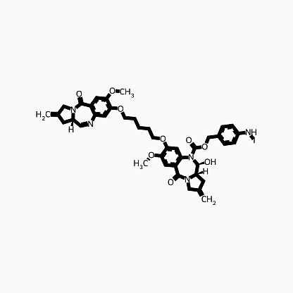 C=C1C[C@H]2C=Nc3cc(OCCCCCOc4cc5c(cc4OC)C(=O)N4CC(=C)C[C@H]4[C@H](O)N5C(=O)OCc4ccc(NI)cc4)c(OC)cc3C(=O)N2C1